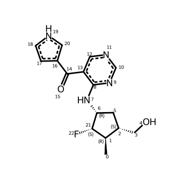 C[C@@H]1[C@@H](CO)C[C@@H](Nc2ncncc2C(=O)c2cc[nH]c2)[C@H]1F